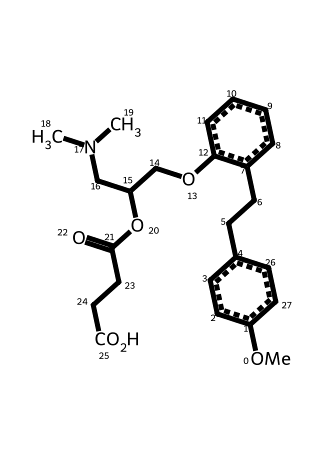 COc1ccc(CCc2ccccc2OCC(CN(C)C)OC(=O)CCC(=O)O)cc1